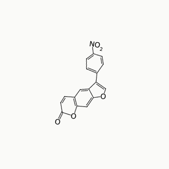 O=c1ccc2cc3c(-c4ccc([N+](=O)[O-])cc4)coc3cc2o1